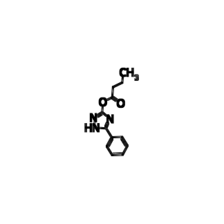 CCCC(=O)Oc1n[nH]c(-c2ccccc2)n1